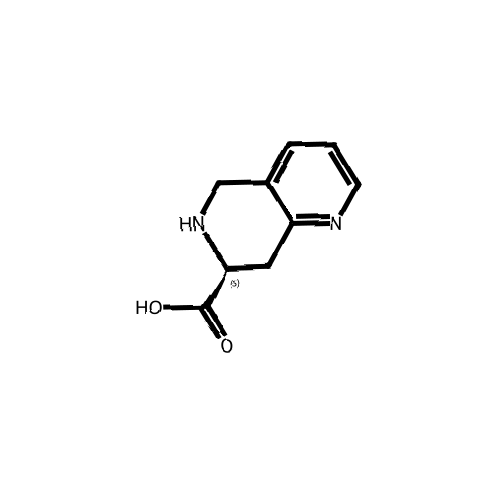 O=C(O)[C@@H]1Cc2ncccc2CN1